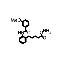 COc1cccc(C(=O)Nc2ccccc2CCCCC(=O)ON)c1